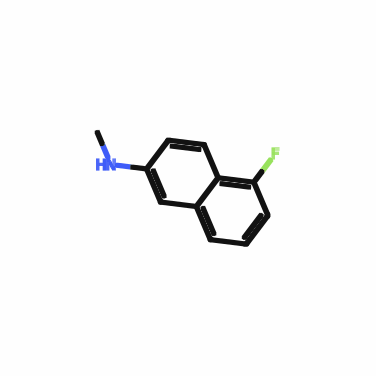 CNc1ccc2c(F)cccc2c1